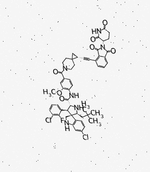 COc1cc(C(=O)N2CCC3(CC2)C[C@@H]3C#Cc2cccc3c2C(=O)N([C@H]2CCC(=O)NC2=O)C3=O)ccc1NC(=O)[C@@H]1N[C@@H](CC(C)(C)C)[C@@]2(CNc3cc(Cl)ccc32)[C@H]1c1cccc(Cl)c1F